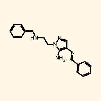 Nc1c(N=Cc2ccccc2)cnn1CCNCc1ccccc1